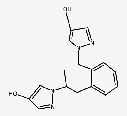 CC(Cc1ccccc1Cn1cc(O)cn1)n1cc(O)cn1